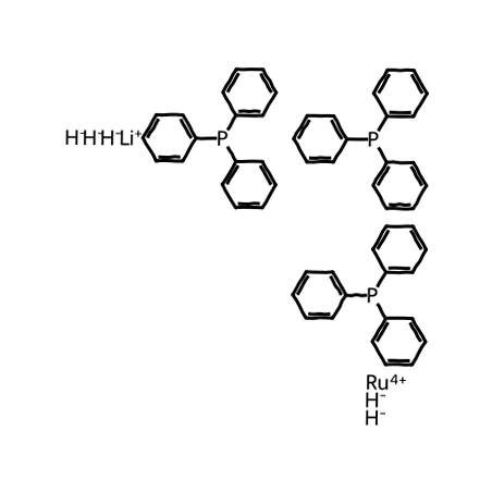 [H-].[H-].[H-].[H-].[H-].[Li+].[Ru+4].c1ccc(P(c2ccccc2)c2ccccc2)cc1.c1ccc(P(c2ccccc2)c2ccccc2)cc1.c1ccc(P(c2ccccc2)c2ccccc2)cc1